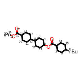 CCCCC1CCC(C(=O)OC2CCC(C3CCC(C(=O)OC(C)C)CC3)CC2)CC1